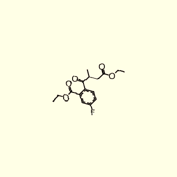 CCOC(=O)CC(C)C(=O)c1ccc(F)cc1C(=O)OCC